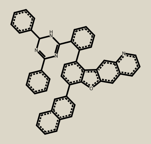 c1ccc(C2=NC(c3ccccc3)NC(c3ccccc3-c3ccc(-c4ccc5ccccc5c4)c4oc5cc6cccnc6cc5c34)=N2)cc1